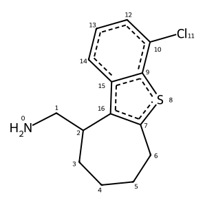 NCC1CCCCc2sc3c(Cl)cccc3c21